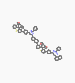 c1ccc(-c2nc(-c3ccc(-c4ccc5c(c4)C4(c6ccccc6S5)c5ccccc5-c5ccccc54)cc3)cc(-c3ccc4cc(-c5ccc6c(c5)C5(c7cc(-c8ccc(-c9cc(-c%10cccc%11ccccc%10%11)nc(-c%10ccccc%10)n9)cc8)ccc7S6)c6ccccc6-c6ccccc65)ccc4c3)n2)cc1